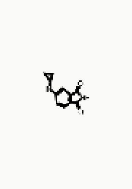 O=C1NC(=O)c2cc(NC3CC3)ccc21